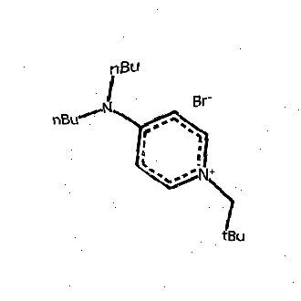 CCCCN(CCCC)c1cc[n+](CC(C)(C)C)cc1.[Br-]